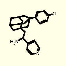 NC(CC12CC3CC(C1)CC(c1ccc(Cl)cc1)(C3)C2)c1ccncc1